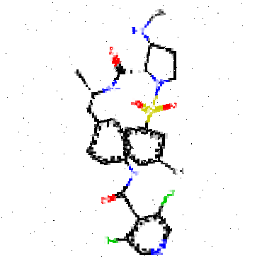 C[C@H](Cc1ccc(NC(=O)c2c(Cl)cncc2Cl)cc1)NC(=O)[C@@H]1[C@@H](NC(C)(C)C)CCN1S(=O)(=O)c1cccc(C#N)c1